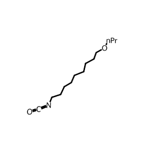 CCCOCCCCCCCCCN=C=O